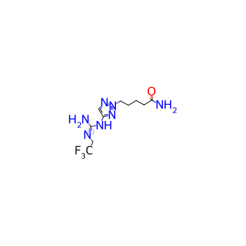 NC(=O)CCCCn1ncc(N/C(N)=N\CC(F)(F)F)n1